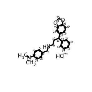 CN(C)c1ccc(CNCCC(c2ccccc2)c2ccc3c(c2)OCO3)cc1.Cl